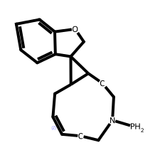 PN1CC/C=C\CC2C(CC1)C21COc2ccccc21